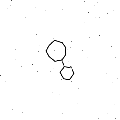 C1CCCC[C](C2CCCCS2)CCC1